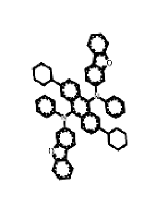 c1ccc(N(c2ccc3c(c2)oc2ccccc23)c2c3ccc(C4CCCCC4)cc3c(N(c3ccccc3)c3ccc4c(c3)oc3ccccc34)c3ccc(C4CCCCC4)cc23)cc1